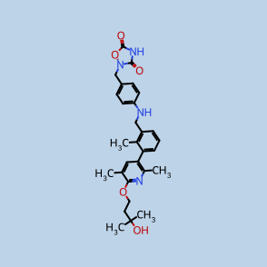 Cc1cc(-c2cccc(CNc3ccc(Cn4oc(=O)[nH]c4=O)cc3)c2C)c(C)nc1OCCC(C)(C)O